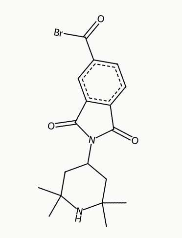 CC1(C)CC(N2C(=O)c3ccc(C(=O)Br)cc3C2=O)CC(C)(C)N1